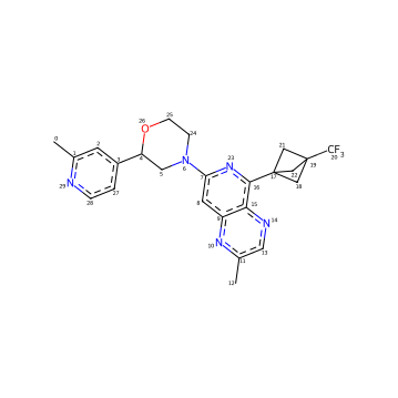 Cc1cc(C2CN(c3cc4nc(C)cnc4c(C45CC(C(F)(F)F)(C4)C5)n3)CCO2)ccn1